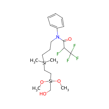 CO[Si](CO)(CC[Si](C)(C)CCCN(C(=O)C(F)C(F)(F)F)c1ccccc1)OC